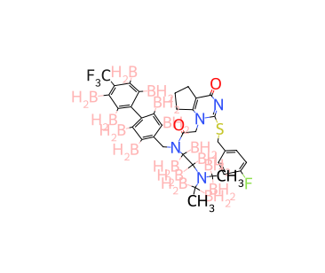 Bc1c(B)c(-c2c(B)c(B)c(C(F)(F)F)c(B)c2B)c(B)c(B)c1CN(C(=O)Cn1c(SCc2ccc(F)cc2)nc(=O)c2c1CCC2)C(B)(B)C(B)(B)N(C(B)(B)C)C(B)(B)C